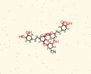 N#Cc1ccc(C(c2c(O)cc(C=Cc3ccc(O)c(O)c3)oc2=O)c2c(O)cc(C=Cc3ccc(O)c(O)c3)oc2=O)cc1